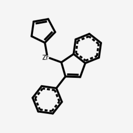 C1=CC[C]([Zr][CH]2C(c3ccccc3)=Cc3ccccc32)=C1